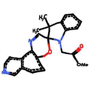 COC(=O)CN1c2ccccc2C(C)(C)C12C=Nc1c(ccc3cnccc13)O2